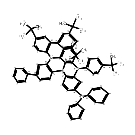 Cc1cc2c3c(c1)N(c1ccc(C(C)(C)C)cc1-c1cc(C(C)(C)C)cc(C(C)(C)C)c1)c1cc(-c4ccccc4)ccc1B3c1ccc(N(c3ccccc3)c3ccccc3)cc1N2c1ccc(C(C)(C)C)cc1